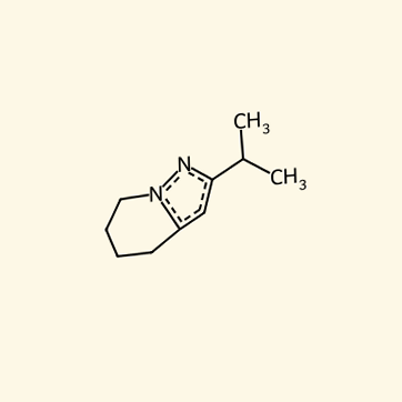 CC(C)c1cc2n(n1)CCCC2